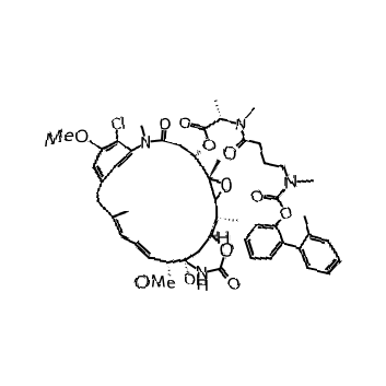 COc1cc2cc(c1Cl)N(C)C(=O)C[C@H](OC(=O)[C@H](C)N(C)C(=O)CCCN(C)C(=O)Oc1ccccc1-c1ccccc1C)[C@]1(C)OC1[C@H](C)[C@@H]1C[C@@](O)(NC(=O)O1)[C@H](OC)/C=C/C=C(\C)C2